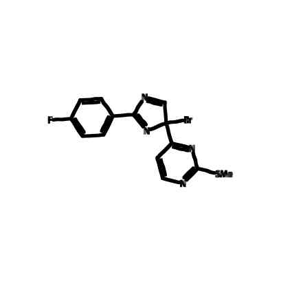 CSc1nccc(C2(Br)C=NC(c3ccc(F)cc3)=N2)n1